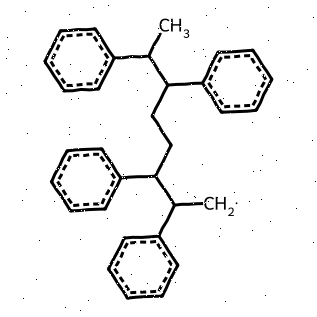 [CH2]C(c1ccccc1)C(CCC(c1ccccc1)C(C)c1ccccc1)c1ccccc1